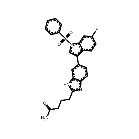 NC(=O)CCCc1nc2ccc(-c3cn(S(=O)(=O)c4ccccc4)c4cc(F)ccc34)cc2[nH]1